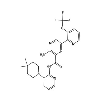 CC1(C)CCN(c2cccnc2NC(=O)c2nc(-c3ncccc3OC(F)(F)F)cnc2N)CC1